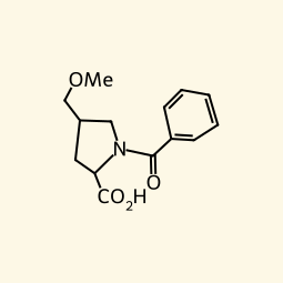 COCC1CC(C(=O)O)N(C(=O)c2ccccc2)C1